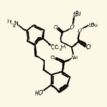 CC(C)(C)OC(=O)CC(NC(=O)c1cccc(O)c1CCCc1cc(N)ccc1C(=O)O)C(=O)OC(C)(C)C